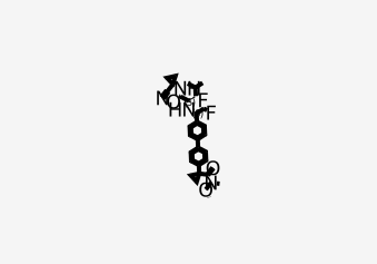 CON(C)C(=O)C1(c2ccc(-c3ccc([C@H](N[C@@H](CC(C)C)C(=O)NC4(C#N)CC4)C(F)F)cc3)cc2)CC1